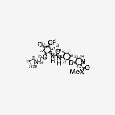 CNC(=O)c1cc(Oc2cccc(NC(=O)Nc3cc(C(F)(F)F)c(Cl)cc3OCCN3CCCC3)c2)ccn1